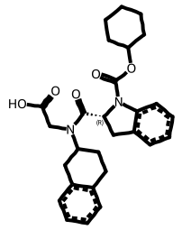 O=C(O)CN(C(=O)[C@H]1Cc2ccccc2N1C(=O)OC1CCCCC1)C1CCc2ccccc2C1